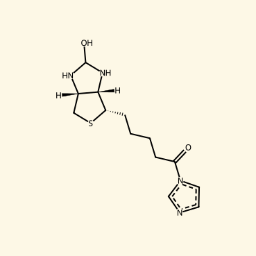 O=C(CCCC[C@@H]1SC[C@@H]2NC(O)N[C@@H]21)n1ccnc1